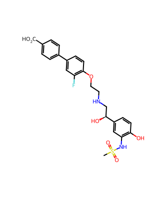 CS(=O)(=O)Nc1cc([C@@H](O)CNCCOc2ccc(-c3ccc(C(=O)O)cc3)cc2F)ccc1O